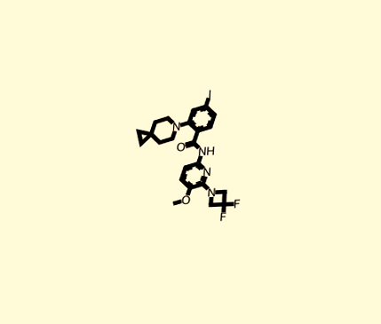 COc1ccc(NC(=O)c2ccc(I)cc2N2CCC3(CC2)CC3)nc1N1CC(F)(F)C1